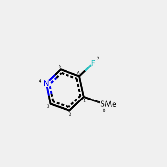 CSc1ccncc1F